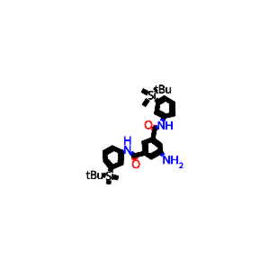 CC(C)(C)[Si](C)(C)c1cccc(NC(=O)c2cc(N)cc(C(=O)Nc3cccc([Si](C)(C)C(C)(C)C)c3)c2)c1